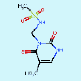 CS(=O)(=O)NCn1c(=O)[nH]cc(C(=O)O)c1=O